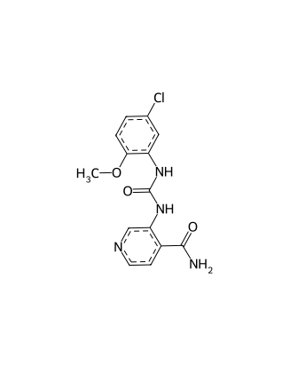 COc1ccc(Cl)cc1NC(=O)Nc1cnccc1C(N)=O